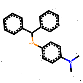 CN(C)c1ccc(PC(c2ccccc2)c2ccccc2)cc1